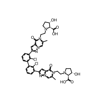 Cc1cn2nc(-c3cccc(-c4cccc(-c5cc6c(=O)n(CCN7CC[C@H](O)[C@H]7C(=O)O)c(C)cn6n5)c4Cl)c3Cl)cc2c(=O)n1CCN1CC[C@H](O)[C@H]1C(=O)O